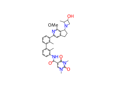 COc1nc(-c2cccc(-c3cccc(NC(=O)c4cn(C)c(=O)n(C)c4=O)c3C)c2C)cc2c1C(N1CC(O)C1C)CC2